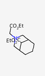 CCOC(=O)CN1CC2CCCC(C1)C2C(=O)OCC